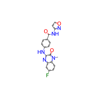 Cn1c(=O)c(Nc2ccc(C(=O)Nc3ccon3)cc2)nc2cc(F)ccc21